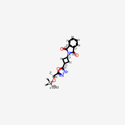 C[C@@H](O[Si](C)(C)C(C)(C)C)c1nnc(C2CC(N3C(=O)c4ccccc4C3=O)C2)o1